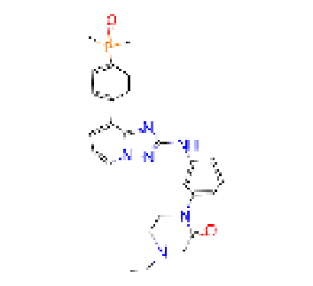 CCN1CCN(c2cccc(Nc3nc4c(-c5ccc(P(C)(C)=O)cc5)cccn4n3)c2)C(=O)C1